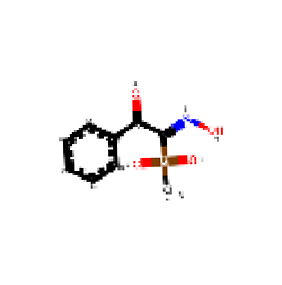 CS(=O)(=O)C(=NO)C(=O)c1ccccc1